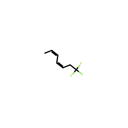 C/C=C\C=C/CC(F)(F)F